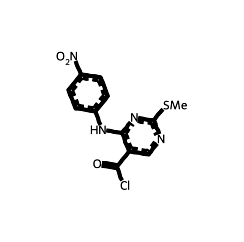 CSc1ncc(C(=O)Cl)c(Nc2ccc([N+](=O)[O-])cc2)n1